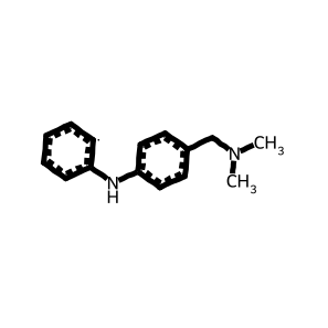 CN(C)Cc1ccc(Nc2[c]cccc2)cc1